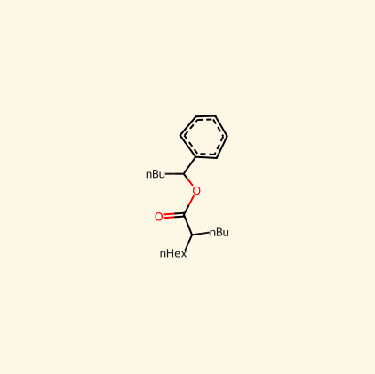 CCCCCCC(CCCC)C(=O)OC(CCCC)c1ccccc1